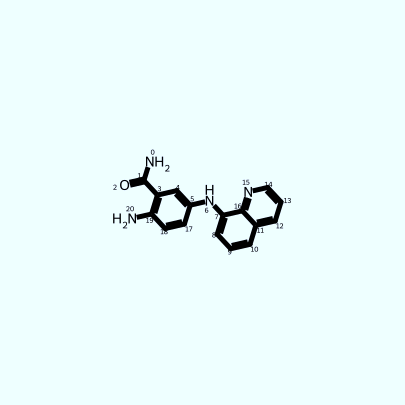 NC(=O)c1cc(Nc2cccc3cccnc23)ccc1N